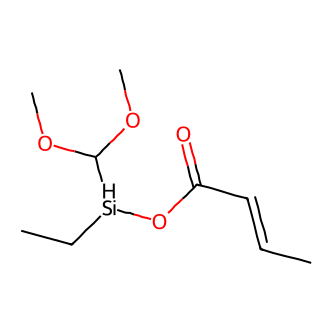 CC=CC(=O)O[SiH](CC)C(OC)OC